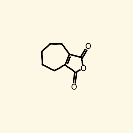 O=C1OC(=O)C2=C1CCCCC2